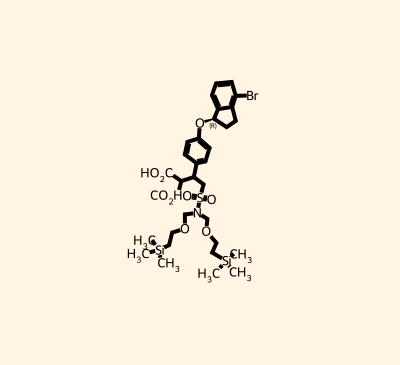 C[Si](C)(C)CCOCN(COCC[Si](C)(C)C)S(=O)(=O)CC(c1ccc(O[C@@H]2CCc3c(Br)cccc32)cc1)C(C(=O)O)C(=O)O